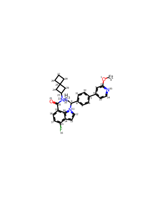 CCOc1cc(-c2ccc([C@H](C)n3ccc4c(F)ccc(C(=O)NC5CC6(CCC6)C5)c43)cc2)ccn1